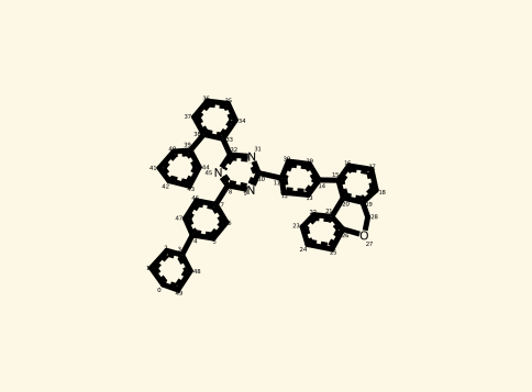 c1ccc(-c2ccc(-c3nc(-c4ccc(-c5cccc6c5-c5ccccc5OC6)cc4)nc(-c4ccccc4-c4ccccc4)n3)cc2)cc1